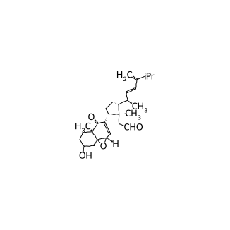 C=C(/C=C/[C@@H](C)[C@H]1CC[C@@H](C2=C[C@@H]3O[C@@]34C[C@@H](O)CC[C@]4(C)C2=O)[C@]1(C)CC=O)C(C)C